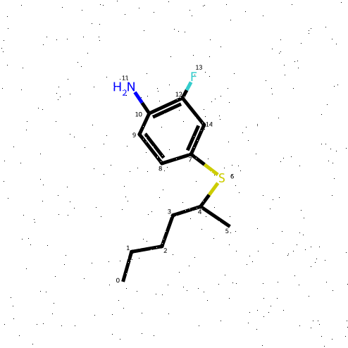 CCCCC(C)Sc1ccc(N)c(F)c1